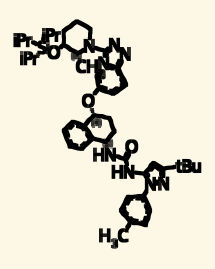 Cc1ccc(-n2nc(C(C)(C)C)cc2NC(=O)N[C@H]2CC[C@@H](Oc3ccc4nnc(N5CCCC(O[Si](C(C)C)(C(C)C)C(C)C)[C@H]5C)n4c3)c3ccccc32)cc1